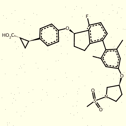 Cc1cc(O[C@H]2CCN(S(C)(=O)=O)C2)cc(C)c1-c1ccc(F)c2c1CC[C@H]2Oc1ccc([C@H]2C[C@@H]2C(=O)O)cc1